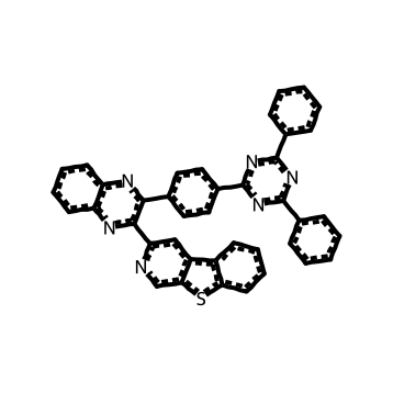 c1ccc(-c2nc(-c3ccccc3)nc(-c3ccc(-c4nc5ccccc5nc4-c4cc5c(cn4)sc4ccccc45)cc3)n2)cc1